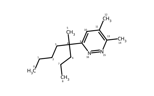 CCCCC(C)(CCC)c1cc(C)c(C)nn1